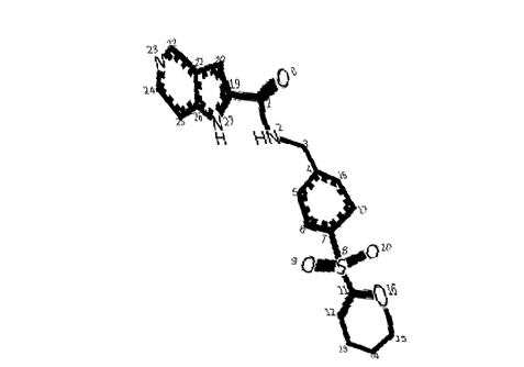 O=C(NCc1ccc(S(=O)(=O)C2CCCCO2)cc1)c1cc2cnccc2[nH]1